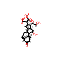 C[C@]12CC(O)[C@H]3[C@@H](CCC4=CC(=O)C=C[C@@]43C)[C@@H]1CC(C(C(=O)O)C(=O)O)[C@@H]2C(=O)CO